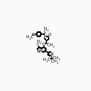 COc1ccc([C@@H](C)N2CC([C@@H](C)Oc3cc(-c4cnn(C(C)(C)C)c4)cn4ncc(C)c34)CC2=O)cc1